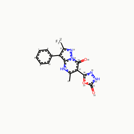 Cc1[nH]c2c(-c3ccccc3)c(C(F)(F)F)nn2c(=O)c1-c1n[nH]c(=O)o1